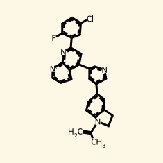 C=C(C)N1CCc2cc(-c3cncc(-c4cc(-c5cc(Cl)ccc5F)nc5ncccc45)c3)ccc21